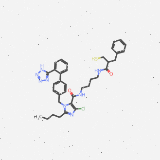 CCCCc1nc(Cl)c(C(=O)NCCCCNC(=O)C(CS)Cc2ccccc2)n1Cc1ccc(-c2ccccc2-c2nnn[nH]2)cc1